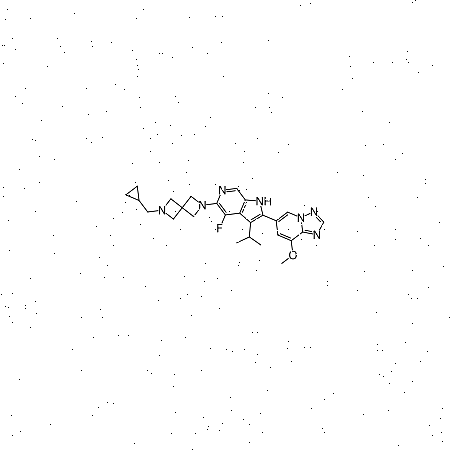 COc1cc(-c2[nH]c3cnc(N4CC5(CN(CC6CC6)C5)C4)c(F)c3c2C(C)C)cn2ncnc12